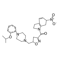 CC(C)Oc1ccccc1N1CCN(CC2CC(C(=O)N3CCC4=C3CC([N+](=O)[O-])C=C4)=NO2)CC1